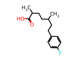 CC(CCc1ccc(F)cc1)CCC(C)C(=O)O